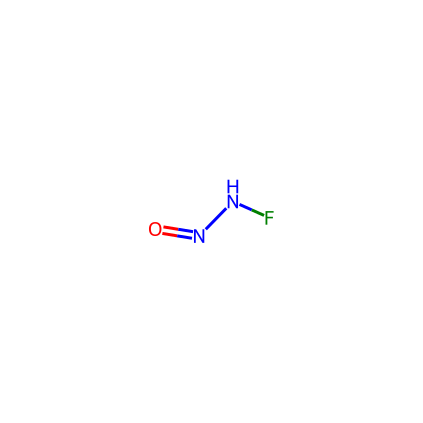 O=NNF